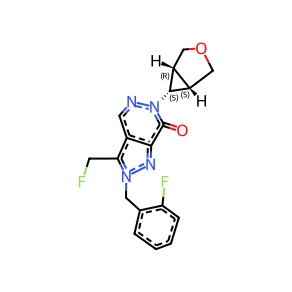 O=c1c2nn(Cc3ccccc3F)c(CF)c2cnn1[C@@H]1[C@@H]2COC[C@@H]21